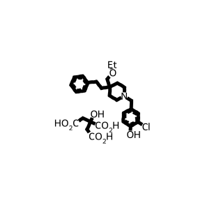 CCOCC1(CCc2ccccc2)CCN(Cc2ccc(O)c(Cl)c2)CC1.O=C(O)CC(O)(CC(=O)O)C(=O)O